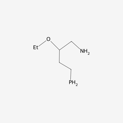 CCOC(CN)CCP